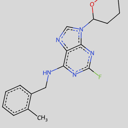 Cc1ccccc1CNc1nc(F)nc2c1ncn2C1CCCCO1